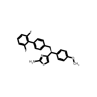 COc1ccc([C@H](Cc2ccc(-c3c(F)cccc3F)cc2)c2csc(N)n2)cc1